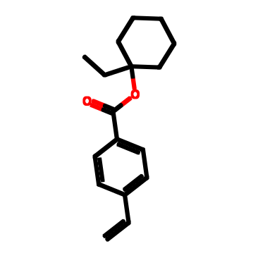 C=Cc1ccc(C(=O)OC2(CC)CCCCC2)cc1